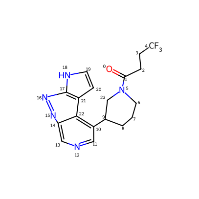 O=C(CCC(F)(F)F)N1CCCC(c2cncc3nnc4[nH]ccc4c23)C1